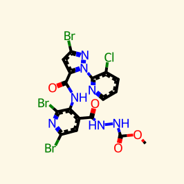 COC(=O)NNC(=O)c1cc(Br)nc(Br)c1NC(=O)c1cc(Br)nn1-c1ncccc1Cl